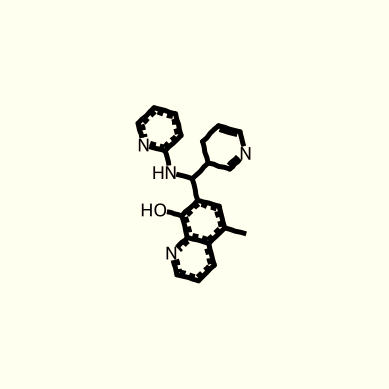 Cc1cc(C(Nc2ccccn2)C2C=NC=CC2)c(O)c2ncccc12